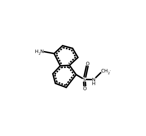 [CH2]NS(=O)(=O)c1cccc2c(N)cccc12